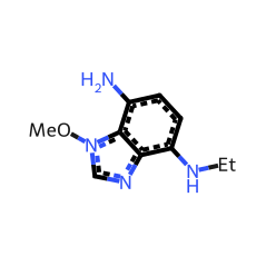 CCNc1ccc(N)c2c1ncn2OC